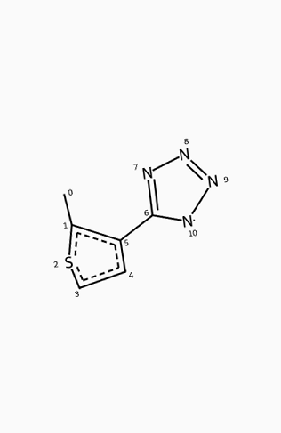 Cc1sccc1C1=NN=N[N]1